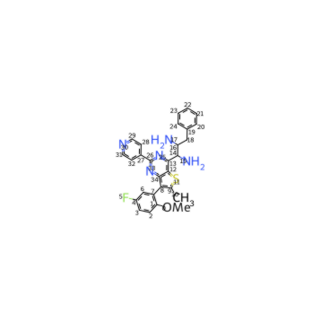 COc1ccc(F)cc1-c1c(C)sc2c(C(N)C(N)Cc3ccccc3)nc(-c3ccncc3)nc12